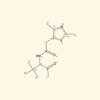 CC(=O)C(NC(=O)Cc1sc(C)nc1C)C(C)(C)C